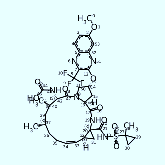 COc1ccc2nc(C(F)(F)F)c(O[C@@H]3C[C@H]4C(=O)N[C@]5(C(=O)NS(=O)(=O)C6(C)CC6)C[C@H]5C=CCC[C@@H](C)C[C@@H](C)[C@H](NC(=O)O)C(=O)N4C3)nc2c1